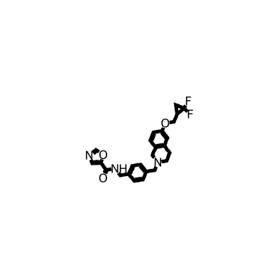 O=C(NCc1ccc(CN2CCc3cc(OCC4CC4(F)F)ccc3C2)cc1)c1cnco1